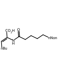 CCCCC=C(NC(=O)CCCCCCCCCCCCC)C(=O)O